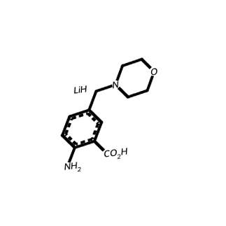 Nc1ccc(CN2CCOCC2)cc1C(=O)O.[LiH]